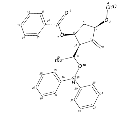 C=C1[C@H](OC=O)C[C@H](OC(=O)c2ccccc2)[C@@H]1C(O[SiH](c1ccccc1)c1ccccc1)C(C)(C)C